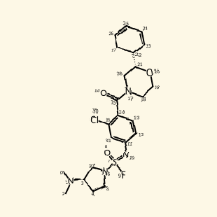 CN(C)[C@@H]1CCN(S(=O)(F)=Nc2ccc(C(=O)N3CCO[C@@H](C4C=CC=CC4)C3)c(Cl)c2)C1